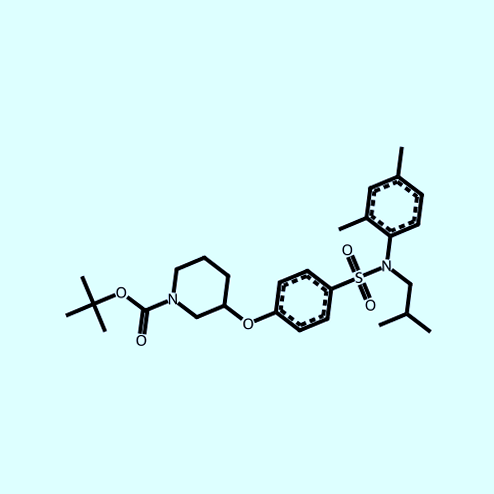 Cc1ccc(N(CC(C)C)S(=O)(=O)c2ccc(OC3CCCN(C(=O)OC(C)(C)C)C3)cc2)c(C)c1